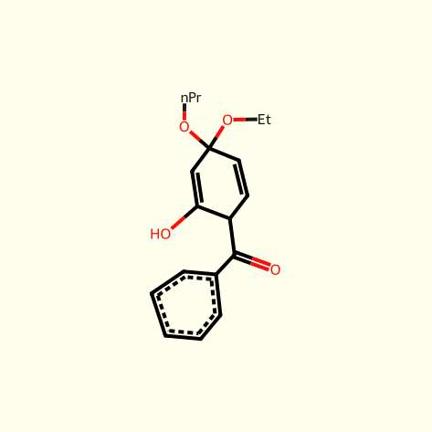 CCCOC1(OCC)C=CC(C(=O)c2ccccc2)C(O)=C1